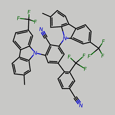 Cc1ccc2c3ccc(C(F)(F)F)cc3n(-c3cc(-c4ccc(C#N)cc4C(F)(F)F)cc(-n4c5cc(C)ccc5c5ccc(C(F)(F)F)cc54)c3C#N)c2c1